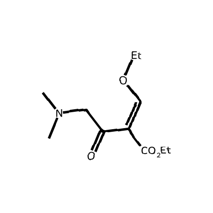 CCO/C=C(\C(=O)CN(C)C)C(=O)OCC